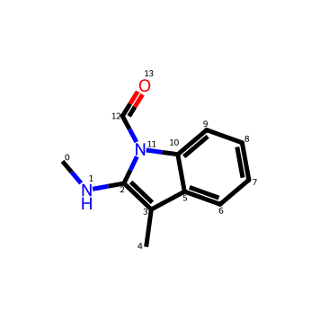 CNc1c(C)c2ccccc2n1C=O